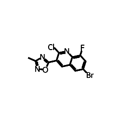 Cc1noc(-c2cc3cc(Br)cc(F)c3nc2Cl)n1